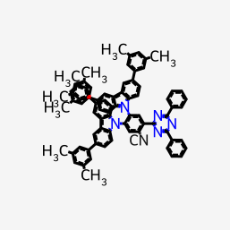 Cc1cc(C)cc(-c2ccc3c(c2)c2cc(-c4cc(C)cc(C)c4)ccc2n3-c2cc(C#N)c(-c3nc(-c4ccccc4)nc(-c4ccccc4)n3)cc2-n2c3ccc(-c4cc(C)cc(C)c4)cc3c3cc(-c4cc(C)cc(C)c4)ccc32)c1